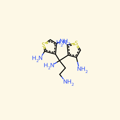 NCCC(N)(c1c(N)csc1N)c1c(N)csc1N